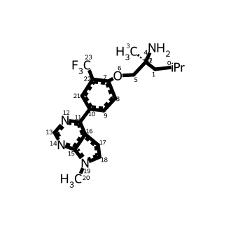 CC(C)C[C@](C)(N)COc1ccc(-c2ncnc3c2ccn3C)cc1C(F)(F)F